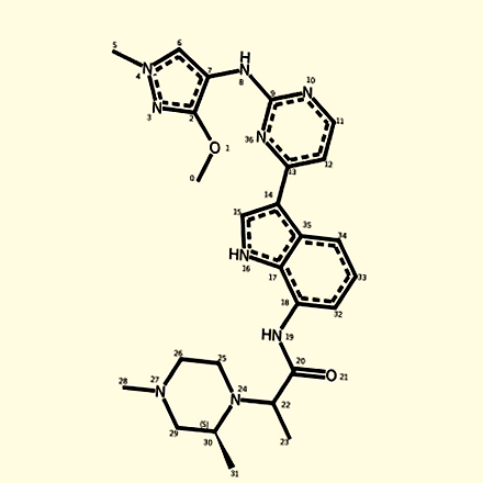 COc1nn(C)cc1Nc1nccc(-c2c[nH]c3c(NC(=O)C(C)N4CCN(C)C[C@@H]4C)cccc23)n1